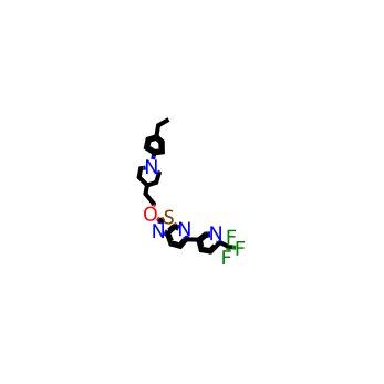 CCc1ccc(N2CCC(CCOc3nc4ccc(-c5ccc(C(F)(F)F)nc5)nc4s3)CC2)cc1